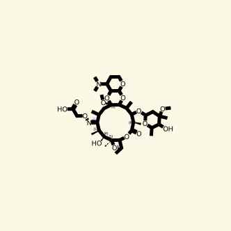 CCC1OC(=O)[C@H](C)C(OC2CC(C)(OC)C(O)C(C)O2)C(C)C2OC3OCCC(N(C)C)C3O[C@@]2(OC)CC(C)/C(=N\OCC(=O)O)[C@H](C)[C@@H](O)[C@]1(C)O